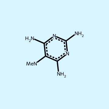 CNc1c(N)nc(N)nc1N